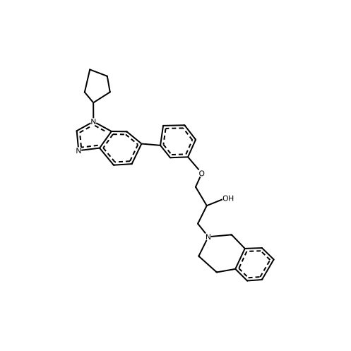 OC(COc1cccc(-c2ccc3ncn(C4CCCC4)c3c2)c1)CN1CCc2ccccc2C1